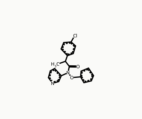 CC(C(=O)N(Oc1ccccc1)c1cccnc1)c1ccc(Cl)cc1